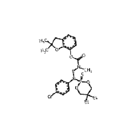 CCC1(CC)COP(=S)(N(SN(C)C(=O)Oc2cccc3c2OC(C)(C)C3)c2ccc(Cl)cc2)OC1